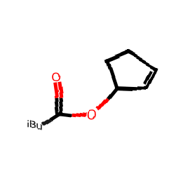 CCC(C)C(=O)OC1C=CCC1